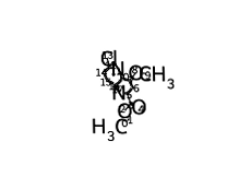 CCOC(=O)c1cc(OC)c2nc(Cl)ccc2n1